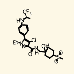 CCn1nc(C(=O)NCC2(O)CCC(S(C)(=O)=O)CC2)c(Cl)c1-c1ccc(N[C@H](C)C(F)(F)F)cc1